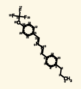 CCCc1ccc(C=NN=Cc2ccc(OC(F)(F)F)cc2)cc1